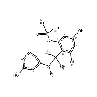 CCC(c1cccc(O)c1)C(O)(O)c1c(O)cc(O)cc1SP(=O)(O)O